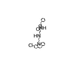 O=C(/C=C/CNCCCCN1C2=CC(Cl)=CCC2=CCc2ccccc21)NOCCc1ccccc1